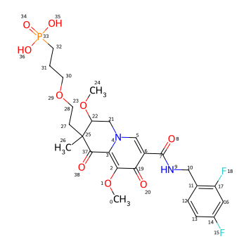 COc1c2n(cc(C(=O)NCc3ccc(F)cc3F)c1=O)CC(OC)C(C)(CCOCCCP(=O)(O)O)C2=O